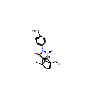 COc1ccc(-n2c(=O)c3c(n2C)[C@]2(C)CC[C@H]3C2(C)C)cc1